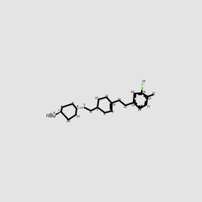 CCCC[C@H]1CC[C@H](CCC2CC=C(CCc3ccc(C)c(F)c3)CC2)CC1